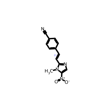 Cn1c([N+](=O)[O-])cnc1/C=C/c1ccc(C#N)cc1